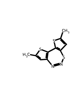 Cc1cc2c(s1)-c1sc(C)cc1SN=N2